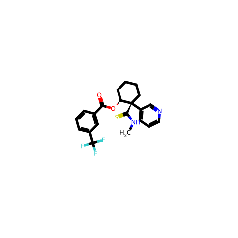 CNC(=S)[C@]1(c2cccnc2)CCCC[C@H]1OC(=O)c1cccc(C(F)(F)F)c1